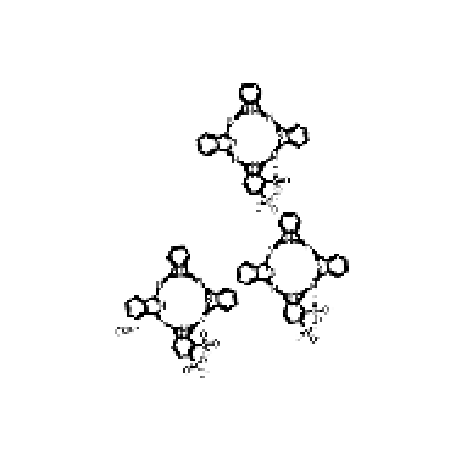 O=S(=O)([O-])c1ccc2c3nc4nc(nc5[nH]c(nc6nc(nc([nH]3)c2c1S(=O)(=O)[O-])-c1ccccc1-6)c1ccccc51)-c1ccccc1-4.O=S(=O)([O-])c1ccc2c3nc4nc(nc5[nH]c(nc6nc(nc([nH]3)c2c1S(=O)(=O)[O-])-c1ccccc1-6)c1ccccc51)-c1ccccc1-4.O=S(=O)([O-])c1ccc2c3nc4nc(nc5[nH]c(nc6nc(nc([nH]3)c2c1S(=O)(=O)[O-])-c1ccccc1-6)c1ccccc51)-c1ccccc1-4.[Cr+3].[Cr+3]